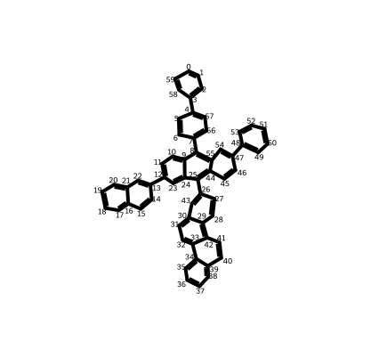 c1ccc(-c2ccc(-c3c4ccc(-c5ccc6ccccc6c5)cc4c(-c4ccc5c(ccc6c7ccccc7ccc56)c4)c4ccc(-c5ccccc5)cc34)cc2)cc1